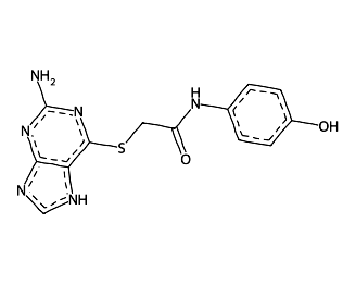 Nc1nc(SCC(=O)Nc2ccc(O)cc2)c2[nH]cnc2n1